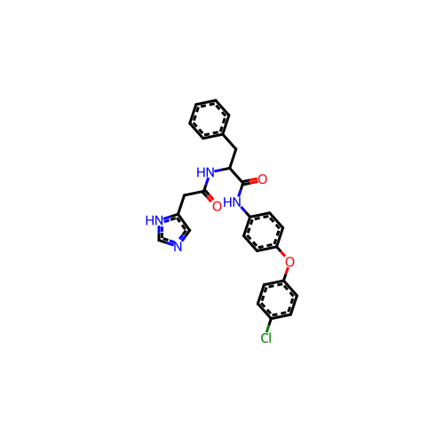 O=C(Cc1cnc[nH]1)NC(Cc1ccccc1)C(=O)Nc1ccc(Oc2ccc(Cl)cc2)cc1